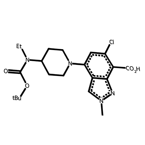 CCN(C(=O)OC(C)(C)C)C1CCN(c2cc(Cl)c(C(=O)O)c3nn(C)cc23)CC1